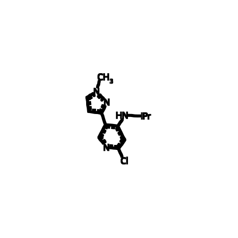 CC(C)Nc1cc(Cl)ncc1-c1ccn(C)n1